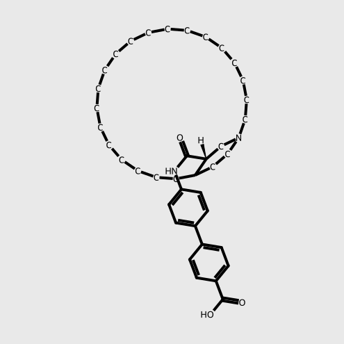 O=C(O)c1ccc(-c2ccc(NC(=O)[C@@H]3CN4CCCCCCCCCCCCCCCCCCCCC3CC4)cc2)cc1